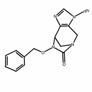 CCCn1cnc2c1CN1CC2N(OCc2ccccc2)C1=O